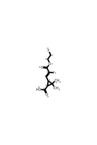 CC1(C)C(C=C(F)C(=O)OCCF)C1C(=O)O